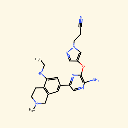 CCNc1cc(-c2cnc(N)c(Oc3cnn(CCC#N)c3)n2)cc2c1CCN(C)C2